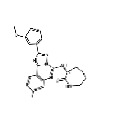 COc1cccc(-c2nc3c4ccc(F)cc4nc(N[C@H]4CCCCNC4=O)n3n2)c1